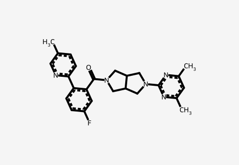 Cc1ccc(-c2ccc(F)cc2C(=O)N2CC3CN(c4nc(C)cc(C)n4)CC3C2)nc1